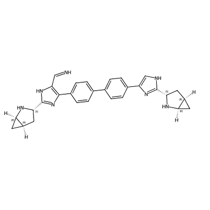 N=Cc1[nH]c([C@@H]2C[C@H]3C[C@H]3N2)nc1-c1ccc(-c2ccc(-c3c[nH]c([C@@H]4C[C@H]5C[C@H]5N4)n3)cc2)cc1